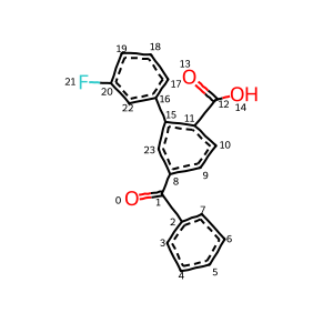 O=C(c1ccccc1)c1ccc(C(=O)O)c(-c2cccc(F)c2)c1